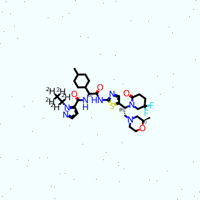 [2H]C([2H])([2H])C([2H])([2H])n1nccc1C(=O)N[C@H](C(=O)Nc1ncc([C@@H](CN2CCO[C@H](C)C2)N2CC(F)(F)CCC2=O)s1)C1CCC(C)CC1